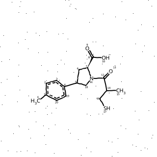 Cc1ccc(C2C[C@@H](C(=O)O)N(C(=O)C(C)CS)C2)cc1